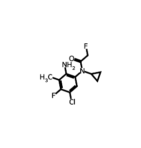 Cc1c(N)c(N(C(=O)CF)C2CC2)cc(Cl)c1F